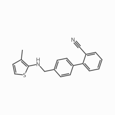 Cc1ccsc1NCc1ccc(-c2ccccc2C#N)cc1